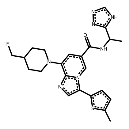 Cc1ccc(-c2cnc3c(N4CCC(CF)CC4)cc(C(=O)NC(C)c4nnc[nH]4)cn23)s1